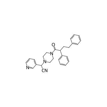 N#CC(c1cccnc1)N1CCN(C(=O)C(CCc2ccccc2)c2ccccc2)CC1